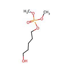 COP(=O)(OC)OCCCCCO